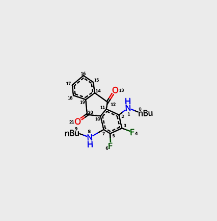 CCCCNc1c(F)c(F)c(NCCCC)c2c1C(=O)c1ccccc1C2=O